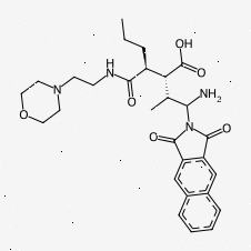 CCC[C@H](C(=O)NCCN1CCOCC1)[C@H](C(=O)O)C(C)C(N)N1C(=O)c2cc3ccccc3cc2C1=O